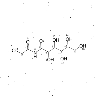 O=C(CCl)NC(=O)C(O)C(O)C(O)C(O)CO